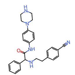 N#Cc1ccc(CCNC(C(=O)Nc2ccc(N3CCNCC3)cc2)c2ccccc2)cc1